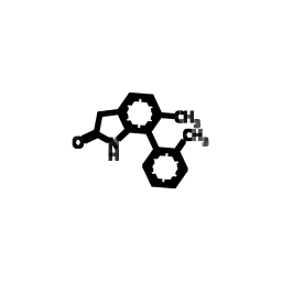 Cc1ccccc1-c1c(C)ccc2c1NC(=O)C2